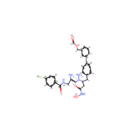 N/C(=C\N(N)C(CC(=O)NO)Cc1ccc(-c2cccc(COC=O)c2)cc1)CNC(=O)c1ccc(F)cc1